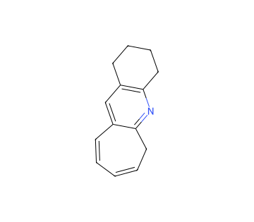 C1=CCc2nc3c(cc2C=C1)CCCC3